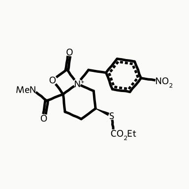 CCOC(=O)S[C@H]1CCC2(C(=O)NC)OC(=O)[N+]2(Cc2ccc([N+](=O)[O-])cc2)C1